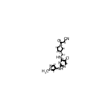 Cn1cc(Nc2ncc(Cl)c(NC[C@H]3CCN(C(=O)CC#N)C3)n2)cn1